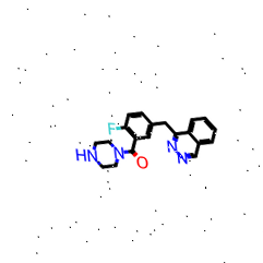 O=C(c1cc(Cc2nncc3ccccc23)ccc1F)N1CCNCC1